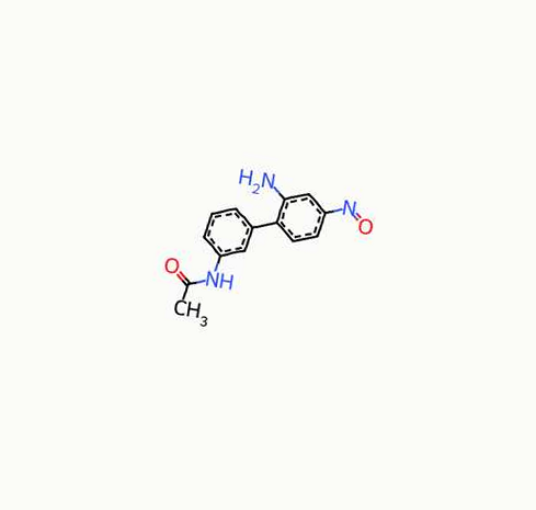 CC(=O)Nc1cccc(-c2ccc(N=O)cc2N)c1